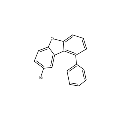 Brc1ccc2oc3cccc(-c4ccccc4)c3c2c1